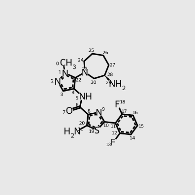 Cn1ncc(NC(=O)c2nc(-c3c(F)cccc3F)sc2N)c1N1CCCC[C@@H](N)C1